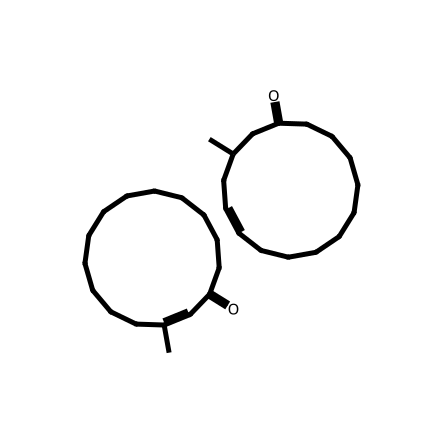 CC1=CC(=O)CCCCCCCCCCCC1.CC1CC=CCCCCCCCCCC(=O)C1